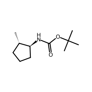 C[C@H]1CCC[C@@H]1NC(=O)OC(C)(C)C